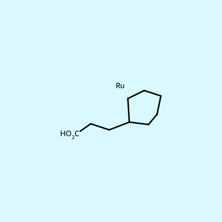 O=C(O)CCC1CCCCC1.[Ru]